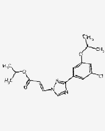 CC(C)OC(=O)C=Cn1cnc(-c2cc(Cl)cc(OC(C)C)c2)n1